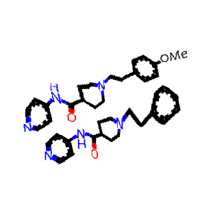 COc1ccc(CCN2CCC(C(=O)Nc3ccncc3)CC2)cc1.O=C(Nc1ccncc1)C1CCN(CCc2ccccc2)CC1